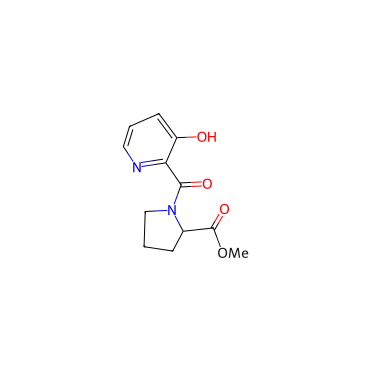 COC(=O)C1CCCN1C(=O)c1ncccc1O